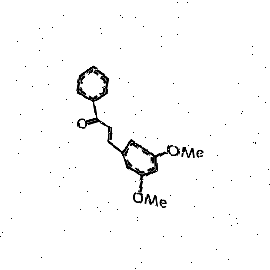 COc1cc(C=CC(=O)c2ccccc2)cc(OC)c1